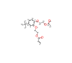 C=CC(=O)OCCOc1cc(C(C)(C)C)ccc1OCCOC(C)=O